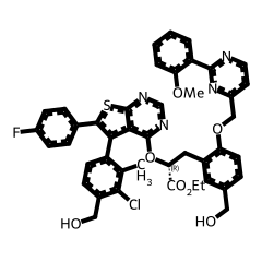 CCOC(=O)[C@@H](Cc1cc(CO)ccc1OCc1ccnc(-c2ccccc2OC)n1)Oc1ncnc2sc(-c3ccc(F)cc3)c(-c3ccc(CO)c(Cl)c3C)c12